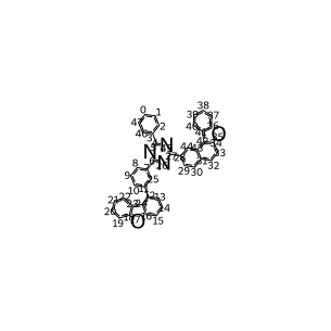 c1ccc(-c2nc(-c3cccc(-c4cccc5oc6ccccc6c45)c3)nc(-c3ccc4ccc5oc6ccccc6c5c4c3)n2)cc1